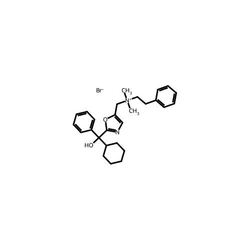 C[N+](C)(CCc1ccccc1)Cc1cnc(C(O)(c2ccccc2)C2CCCCC2)o1.[Br-]